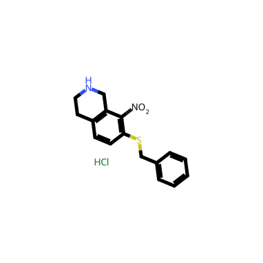 Cl.O=[N+]([O-])c1c(SCc2ccccc2)ccc2c1CNCC2